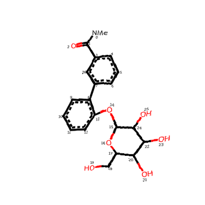 CNC(=O)c1cccc(-c2ccccc2OC2OC(CO)C(O)C(O)C2O)c1